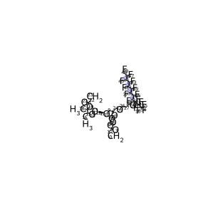 C=CC(=O)OOOOC(COC#COOC(C)C(C)OC(=O)C=C)COCCCOC(F)(/C(F)=C(F)/C(F)=C(F)/C(F)=C(F)/C(F)=C(\F)CF)C(F)(F)C(F)(F)F